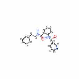 O=C(Nc1ccccc1C(=O)NCCc1ccccc1)c1cccnc1